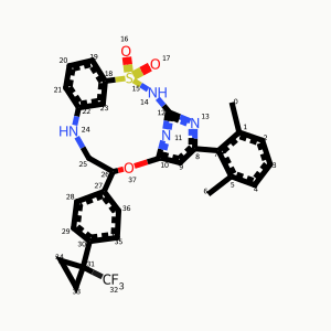 Cc1cccc(C)c1-c1cc2nc(n1)NS(=O)(=O)c1cccc(c1)NCC(c1ccc(C3(C(F)(F)F)CC3)cc1)O2